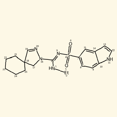 CCN/C(=N\S(=O)(=O)c1ccc2[nH]ccc2c1)N1CC2(C=N1)CCCCC2